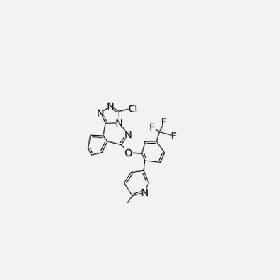 Cc1ccc(-c2ccc(C(F)(F)F)cc2Oc2nn3c(Cl)nnc3c3ccccc23)cn1